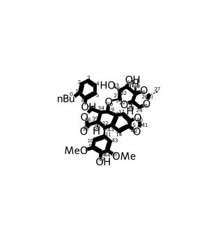 CCCCc1ccccc1O.COc1cc([C@@H]2c3cc4c(cc3C(O[C@@H]3O[C@@H]5CO[C@@H](C)O[C@H]5[C@H](O)[C@H]3O)C3COC(=O)[C@@H]32)OCO4)cc(OC)c1O